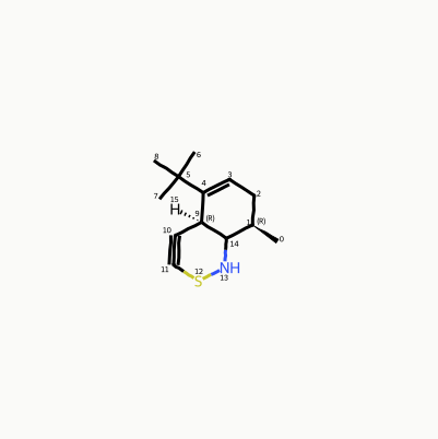 C[C@@H]1CC=C(C(C)(C)C)[C@@H]2C#CSNC12